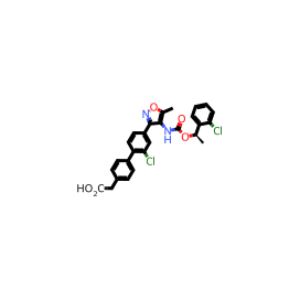 Cc1onc(-c2ccc(-c3ccc(CC(=O)O)cc3)c(Cl)c2)c1NC(=O)O[C@H](C)c1ccccc1Cl